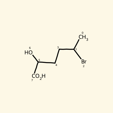 CC(Br)CCC(O)C(=O)O